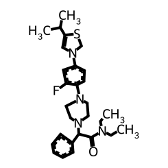 CCN(CC)C(=O)C(c1ccccc1)N1CCN(c2ccc(N3C=C(C(C)C)SC3)cc2F)CC1